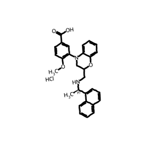 COc1ccc(C(=O)O)cc1N1CC(CN[C@H](C)c2cccc3ccccc23)Oc2ccccc21.Cl